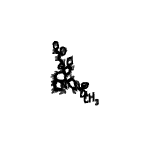 CCOC(=O)N1CCC(=C2c3ccc(Cl)c(OCCC(=O)C=O)c3CCc3cccnc32)CC1